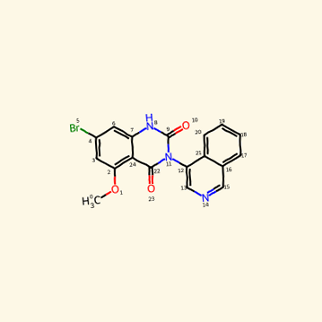 COc1cc(Br)cc2[nH]c(=O)n(-c3cncc4ccccc34)c(=O)c12